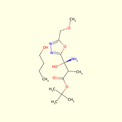 CCCCO.COCc1nnc([C@@](N)(O)C(C)C(=O)OC(C)(C)C)o1